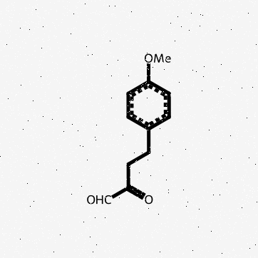 COc1ccc(CCC(=O)C=O)cc1